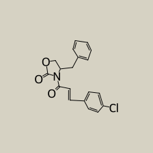 O=C(C=Cc1ccc(Cl)cc1)N1C(=O)OCC1Cc1ccccc1